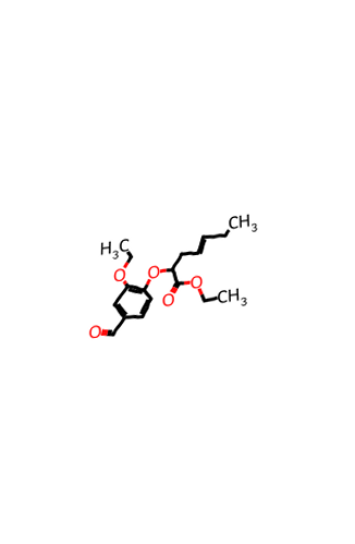 CCC=CCC(Oc1ccc(C=O)cc1OCC)C(=O)OCC